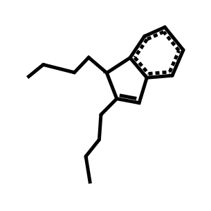 CCCC[C]1C(CCCC)=Cc2ccccc21